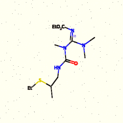 CCOC(=O)/N=C(/N(C)C)N(C)C(=O)NCC(C)SCC